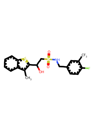 Cc1c(C(O)CS(=O)(=O)NCc2ccc(F)c(C(F)(F)F)c2)sc2ccccc12